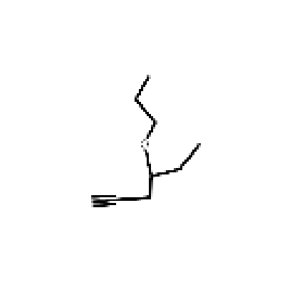 C#CCC(CC)O[CH]CC